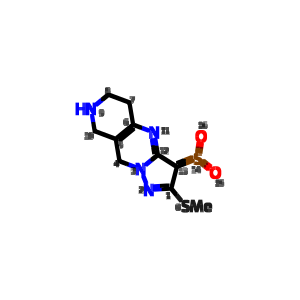 CSC1=NN2CC3=C(CCNC3)N=C2C1=S(=O)=O